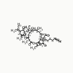 CC[C@H]1OC(=O)[C@H](C)C(=O)[C@H](C)[C@@H](O[C@@H]2OC(C)CC(N(C)C)C2O)[C@](C)(OC)C[C@@H](C)CN[C@H](CC=O)[C@H]2N(CCCCN=[N+]=[N-])C(=O)O[C@]12C